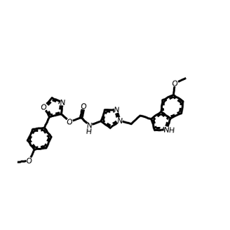 COc1ccc(-c2ocnc2OC(=O)Nc2cnn(CCc3c[nH]c4ccc(OC)cc34)c2)cc1